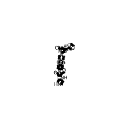 O=C1CC(NC2CCNCC2)C2COc3cc(S(=O)(=O)N4CCN(c5cc(C(F)(F)[C@@H]6COCCO6)cc(Cl)n5)CC4)ccc3N12